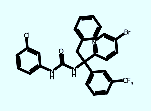 O=C(Nc1cccc(Cl)c1)NC(Cc1ccccc1)(c1cccc(C(F)(F)F)c1)c1ccc(Br)cn1